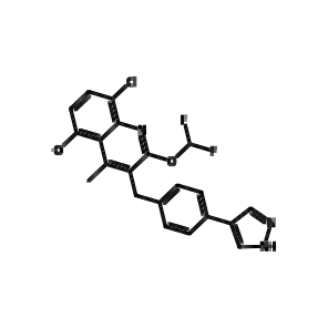 Cc1c(Cc2ccc(-c3cn[nH]c3)cc2)c(OC(F)F)nc2c(Cl)ccc([O])c12